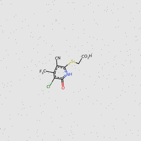 N#Cc1c(SCC(=O)O)[nH]c(=O)c(Cl)c1C(F)(F)F